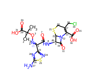 CC(C)(O/N=C(\C(=O)N[C@@H]1C(=O)N2C(C(=O)O)=C(CCl)CSC12)c1nsc(N)n1)C(=O)O